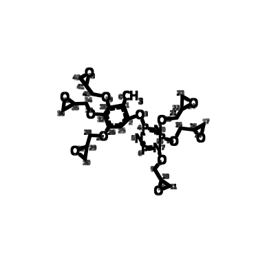 Cc1c(Op2npn(OCC3CO3)p(OCC3CO3)n2OCC2CO2)cc(OCC2CO2)c(OCC2CO2)c1OCC1CO1